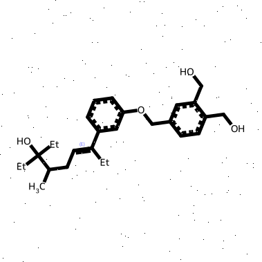 CC/C(=C\CC(C)C(O)(CC)CC)c1cccc(OCc2ccc(CO)c(CO)c2)c1